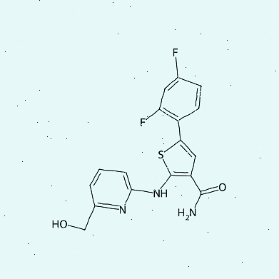 NC(=O)c1cc(-c2ccc(F)cc2F)sc1Nc1cccc(CO)n1